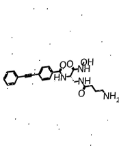 NCCCC(=O)NC[C@H](NC(=O)c1ccc(C#Cc2ccccc2)cc1)C(=O)NO